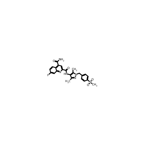 Cc1nn(Cc2ccc(S(C)(=O)=O)cc2)c(C)c1NC(=O)c1cc(C(N)=O)c2ccc(F)cc2n1